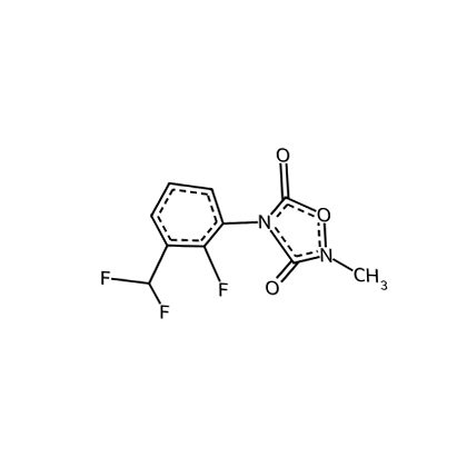 Cn1oc(=O)n(-c2cccc(C(F)F)c2F)c1=O